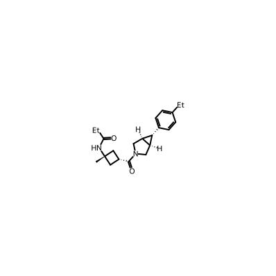 CCC(=O)N[C@]1(C)C[C@H](C(=O)N2C[C@@H]3[C@H](C2)[C@H]3c2ccc(CC)cc2)C1